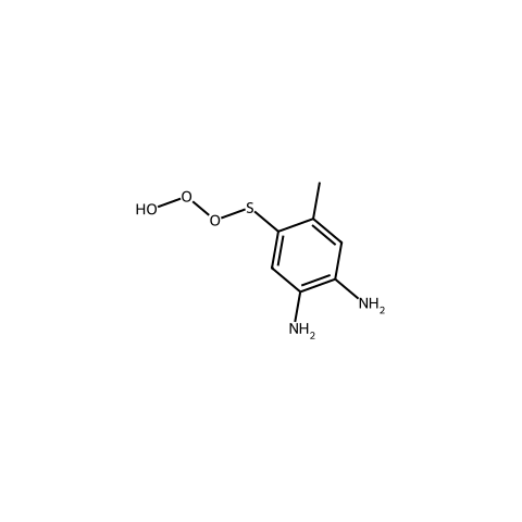 Cc1cc(N)c(N)cc1SOOO